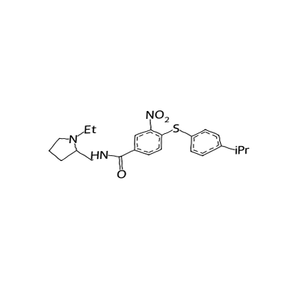 CCN1CCCC1CNC(=O)c1ccc(Sc2ccc(C(C)C)cc2)c([N+](=O)[O-])c1